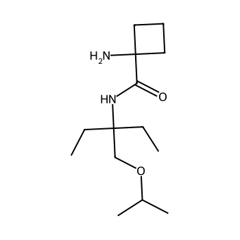 CCC(CC)(COC(C)C)NC(=O)C1(N)CCC1